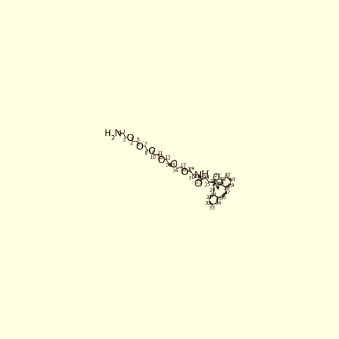 NCCOCCOCCOCCOCCOCCOCCNC(=O)CCC(=O)N1Cc2ccccc2C#Cc2ccccc21